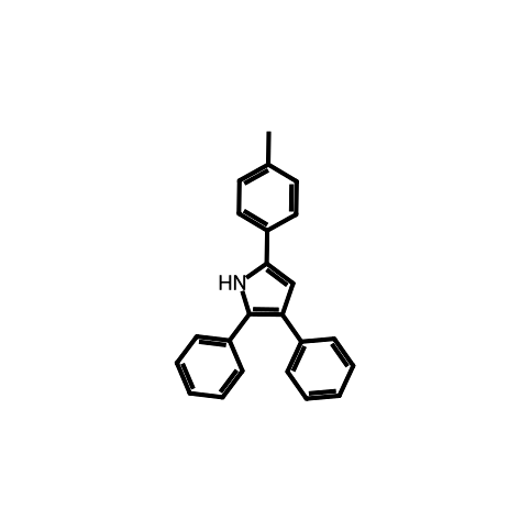 Cc1ccc(-c2cc(-c3ccccc3)c(-c3ccccc3)[nH]2)cc1